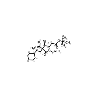 CCOC(=O)C(CC(C)C1CCCCC1)(C(=O)O)C(N)CCC(=O)OC(C)(C)C